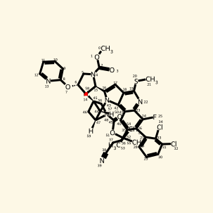 COC(=O)N1C[C@@H](Oc2ccccn2)C[C@@H]1c1cc2c(SC)nc3c(F)c(-c4cccc(Cl)c4Cl)c(CCC#N)cc3c2n1[C@H]1[C@@H]2C[C@H]1N(C(=O)OC(C)(C)C)C2